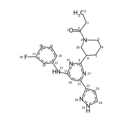 CCC(=O)N1CCCC(c2nc(Nc3cccc(F)c3)cc(-c3cc[nH]n3)n2)C1